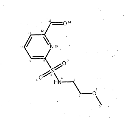 COCCNS(=O)(=O)c1cccc(C=O)n1